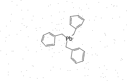 c1ccc([CH2][Pb]([CH2]c2ccccc2)[CH2]c2ccccc2)cc1